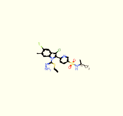 C=CS/C(=N\N)n1c(-c2ccc(S(=O)(=O)N[C@@H](C)C(F)(F)F)cn2)c(Cl)c2cc(F)c(C)cc21